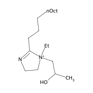 CCCCCCCCCCCC1=NCC[N+]1(CC)CC(C)O